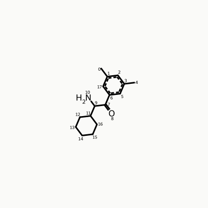 Cc1cc(C)cc(C(=O)C(N)C2CCCCC2)c1